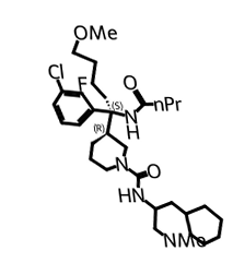 CCCC(=O)N[C@](CCCCOC)(c1cccc(Cl)c1F)[C@@H]1CCCN(C(=O)NC(CNC)CC2CCCCC2)C1